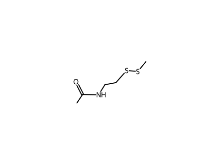 CSSCCNC(C)=O